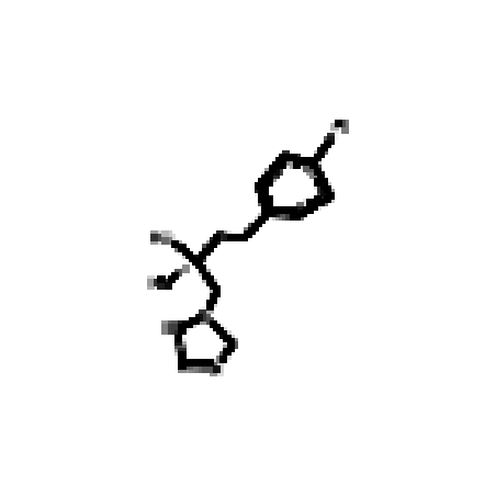 CC(C)(C)[C@](O)(CCc1ccc(Cl)cc1)CN1CN=CN1